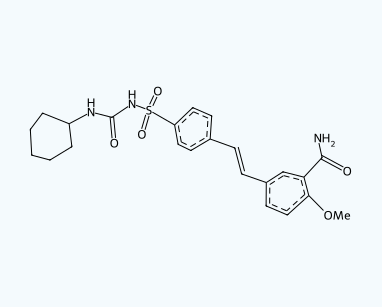 COc1ccc(C=Cc2ccc(S(=O)(=O)NC(=O)NC3CCCCC3)cc2)cc1C(N)=O